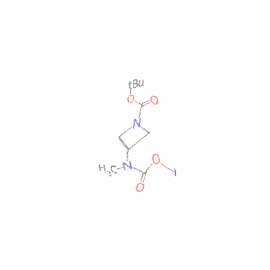 CN(C(=O)OI)C1CN(C(=O)OC(C)(C)C)C1